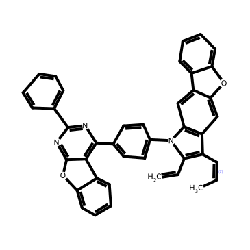 C=Cc1c(/C=C\C)c2cc3oc4ccccc4c3cc2n1-c1ccc(-c2nc(-c3ccccc3)nc3oc4ccccc4c23)cc1